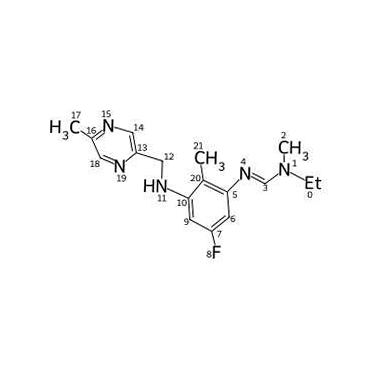 CCN(C)C=Nc1cc(F)cc(NCc2cnc(C)cn2)c1C